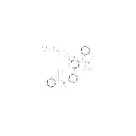 CNC1CCN(c2nc(-c3cc(C(=O)Nc4ccc(F)cc4)ccc3C)c3c(n2)N(c2c(F)cccc2F)C(=O)NC3)CC1